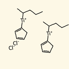 CCC[CH](C)[Ti+][C]1=CC=CC1.CCC[CH](C)[Ti+][C]1=CC=CC1.[Cl-].[Cl-]